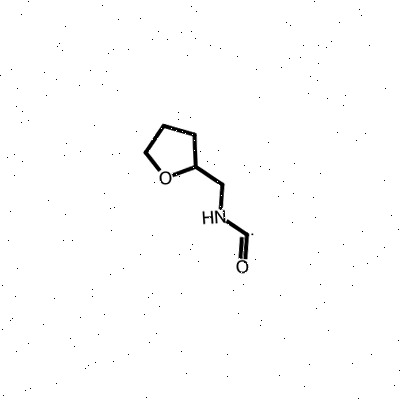 O=[C]NCC1CCCO1